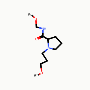 CC(C)OCCCN1CCCC1C(=O)NCOC(C)C